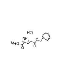 COC(=O)[C@H](N)CCC(=O)OCc1ccccc1.Cl